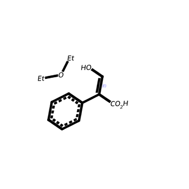 CCOCC.O=C(O)/C(=C/O)c1ccccc1